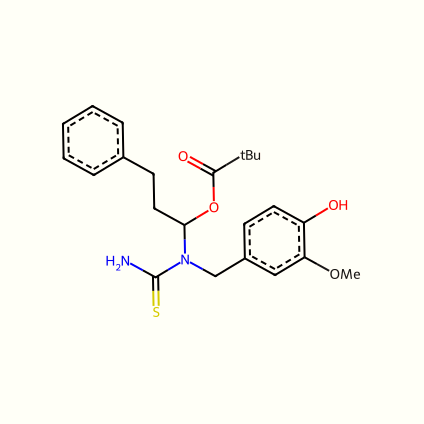 COc1cc(CN(C(N)=S)C(CCc2ccccc2)OC(=O)C(C)(C)C)ccc1O